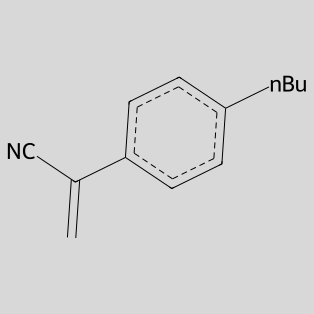 C=C(C#N)c1ccc(CCCC)cc1